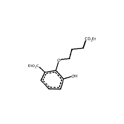 CCOC(=O)CCCOc1c(O)cccc1C(=O)OCC